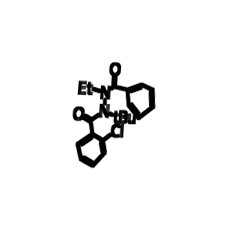 CCN(C(=O)c1ccccc1)N(C(=O)c1ccccc1Cl)C(C)(C)C